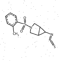 Cc1ccccc1S(=O)(=O)N1CC2C(C1)C2N=C=S